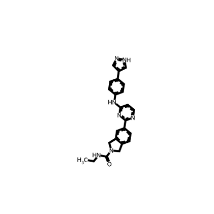 CCNC(=O)N1Cc2ccc(-c3nccc(Nc4ccc(-c5cn[nH]c5)cc4)n3)cc2C1